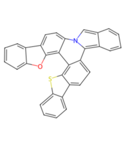 c1ccc2c(c1)cn1c3ccc4c5ccccc5oc4c3c3c(ccc4c5ccccc5sc43)c21